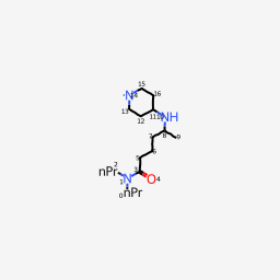 CCCN(CCC)C(=O)CCCC(C)NC1CC[N]CC1